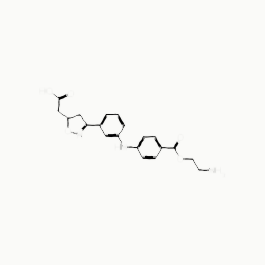 NCCOC(=O)c1ccc(Nc2cccc(C3=NOC(CC(=O)O)C3)c2)cc1